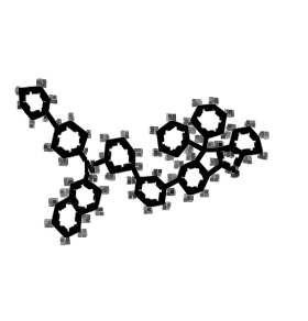 c1ccc(-c2ccc(N(c3cccc(-c4cccc(-c5ccc6c(c5)C(c5ccccc5)(c5ccccc5)c5c-6sc6ccccc56)c4)c3)c3ccc4ccccc4c3)cc2)cc1